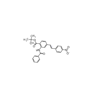 CC(C)(C)OC(=O)c1ccc(/C=C/c2ccc([N+](=O)[O-])cc2)cc1NC(=O)c1ccccc1